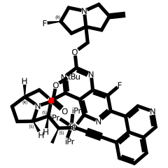 C=C1CN2C[C@H](F)CC2(COc2nc3c4c(nc(-c5cncc6cccc(C#C[Si](C(C)C)(C(C)C)C(C)C)c56)c(F)c4n2)O[C@@H](C)[C@@H]2[C@@H]4CC[C@H](CN32)N4C(=O)OC(C)(C)C)C1